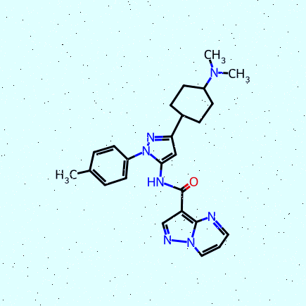 Cc1ccc(-n2nc(C3CCC(N(C)C)CC3)cc2NC(=O)c2cnn3cccnc23)cc1